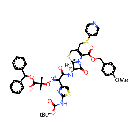 COc1ccc(COC(=O)C2=C(CSc3ccncc3)CS[C@@H]3[C@H](NC(=O)/C(=N/OC(C)(C)C(=O)OC(c4ccccc4)c4ccccc4)c4csc(NC(=O)OC(C)(C)C)n4)C(=O)N23)cc1